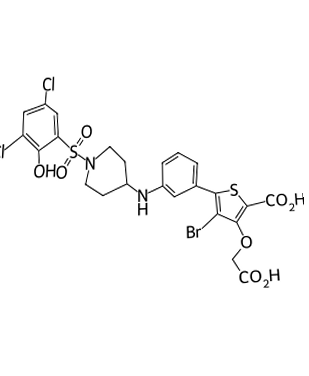 O=C(O)COc1c(C(=O)O)sc(-c2cccc(NC3CCN(S(=O)(=O)c4cc(Cl)cc(Cl)c4O)CC3)c2)c1Br